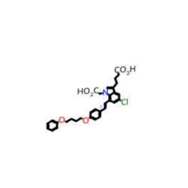 O=C(O)CCCc1cn(CC(=O)O)c2c(/C=C/c3ccc(OCCCCOc4ccccc4)cc3)cc(Cl)cc12